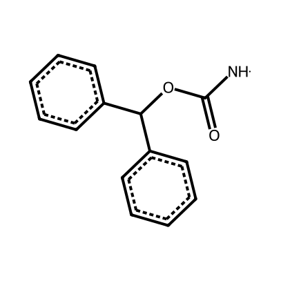 [NH]C(=O)OC(c1ccccc1)c1ccccc1